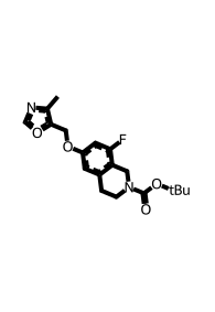 Cc1ncoc1COc1cc(F)c2c(c1)CCN(C(=O)OC(C)(C)C)C2